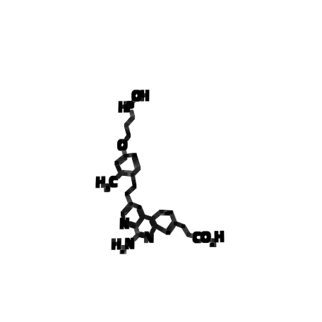 Cc1cc(OCCCPO)ccc1CCc1cnc2c(N)nc3cc(CCC(=O)O)ccc3c2c1